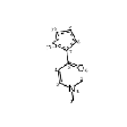 CN(C)/C=C\C(=O)c1cccs1